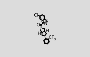 O=C(c1nnc2ccc(Cl)cn12)N1C[C@H]2C[C@H](c3ccccc3C(F)(F)F)C[C@H]2C1